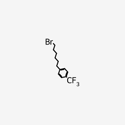 FC(F)(F)c1ccc(CCCCCCBr)cc1